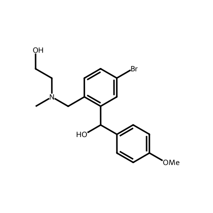 COc1ccc(C(O)c2cc(Br)ccc2CN(C)CCO)cc1